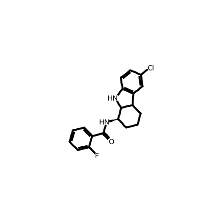 O=C(N[C@@H]1CCCC2c3cc(Cl)ccc3NC21)c1ccccc1F